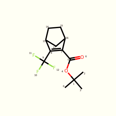 CC(C)(C)OC(=O)C1=C(C(F)(F)F)C2CCC1C2